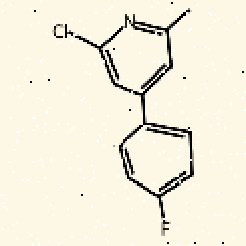 Cc1cc(-c2[c]cc(F)cc2)cc(Cl)n1